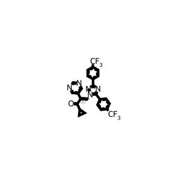 O=C(/C(=C/n1nc(-c2ccc(C(F)(F)F)cc2)nc1-c1ccc(C(F)(F)F)cc1)c1cncnc1)C1CC1